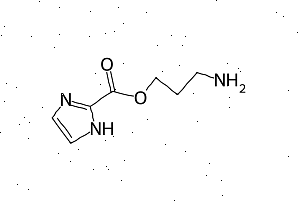 NCCCOC(=O)c1ncc[nH]1